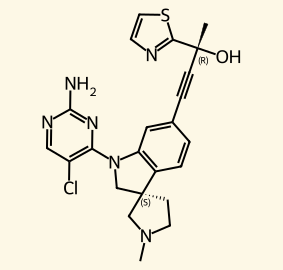 CN1CC[C@]2(C1)CN(c1nc(N)ncc1Cl)c1cc(C#C[C@@](C)(O)c3nccs3)ccc12